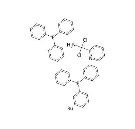 NC(Cl)(Cl)c1ccccn1.[Ru].c1ccc(P(c2ccccc2)c2ccccc2)cc1.c1ccc(P(c2ccccc2)c2ccccc2)cc1